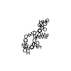 CNC(=O)COc1cc2cc(Nc3nc(N4CCC(OC5CC(N6CCC(c7cc8c(cc7OC)C(=O)N(C7CCC(=O)NC7=O)C8=O)CC6)C5)CC4)ncc3Cl)ccc2n(C(C)C)c1=O